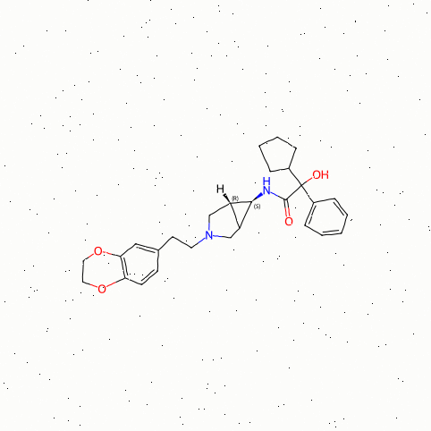 O=C(N[C@H]1C2CN(CCc3ccc4c(c3)OCCO4)C[C@@H]21)C(O)(c1ccccc1)C1CCCC1